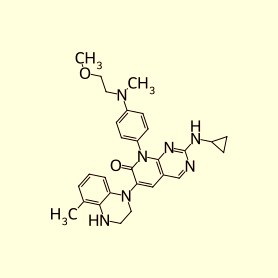 COCCN(C)c1ccc(-n2c(=O)c(N3CCNc4c(C)cccc43)cc3cnc(NC4CC4)nc32)cc1